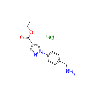 CCOC(=O)c1cnn(-c2ccc(CN)cc2)c1.Cl